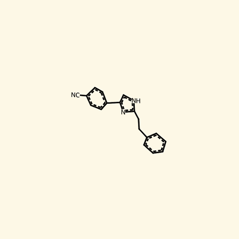 N#Cc1ccc(-c2c[nH]c(CCc3ccccc3)n2)cc1